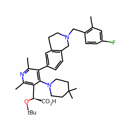 Cc1cc(F)ccc1CN1CCc2cc(-c3c(C)nc(C)c([C@H](OC(C)(C)C)C(=O)O)c3N3CCC(C)(C)CC3)ccc2C1